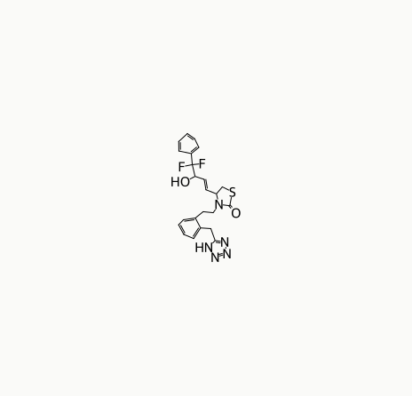 O=C1SCC(C=CC(O)C(F)(F)c2ccccc2)N1CCc1ccccc1Cc1nnn[nH]1